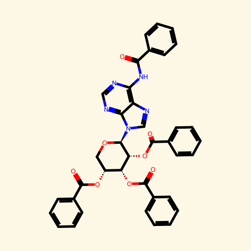 O=C(Nc1ncnc2c1ncn2[C@@H]1OC[C@@H](OC(=O)c2ccccc2)[C@@H](OC(=O)c2ccccc2)[C@H]1OC(=O)c1ccccc1)c1ccccc1